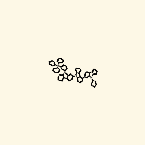 c1ccc(-n2c3ccccc3c3ccc(-c4cccc5c4c4ccccc4n5-c4ccc5c6ccccc6n(-c6cccc([Si](c7ccccc7)(c7ccccc7)c7ccccc7)c6)c5c4)cc32)cc1